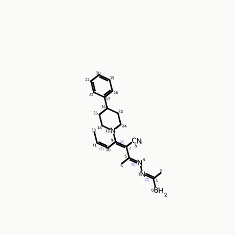 B/C(C)=N/N=C(C)/C(C#N)=C(\C=C/C)N1CCC(c2ccccc2)CC1